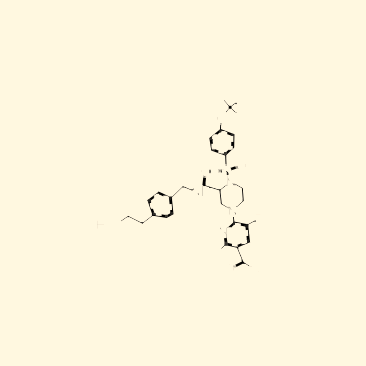 CCCc1ccc(CNC(=O)C2CN(c3nc(C)c(C(=O)O)cc3F)CCN2S(=O)(=O)c2ccc(OC(F)(F)F)cc2)cc1